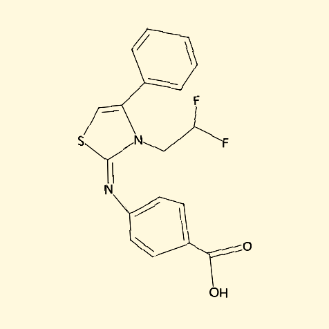 O=C(O)c1ccc(N=c2scc(-c3ccccc3)n2CC(F)F)cc1